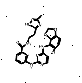 Cc1n[nH]c(CCNC(=O)c2cccc(Nc3nccc(Nc4c(Cl)ccc5c4OCO5)n3)c2)n1